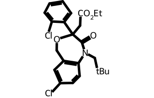 CCOC(=O)CC1(c2ccccc2Cl)OCc2cc(Cl)ccc2N(CC(C)(C)C)C1=O